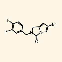 O=C1N(Cc2ccc(F)c(F)c2)Cc2cc(Br)cn21